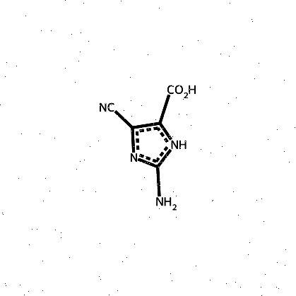 N#Cc1nc(N)[nH]c1C(=O)O